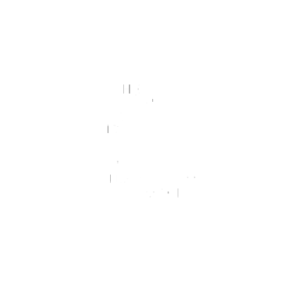 COC(=O)c1c(C(=O)O)c(C(=O)O)c(C(=O)O)c2ccccc12